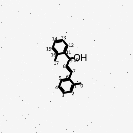 Cc1ccccc1/C=C/C(O)c1ccccc1C